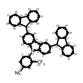 N#Cc1ccc(-n2c3ccc(C4c5ccccc5-c5ccccc54)cc3c3cc(C4c5ccccc5-c5ccccc54)ccc32)c(C(F)(F)F)c1